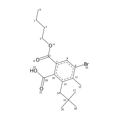 CCCCOC(=O)c1cc(Br)c(C)c(CC(C)(C)C)c1C(=O)O